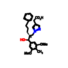 COc1cc(C(O)[C@H](CCCc2ccccc2)Cn2cc(CC(=O)O)cn2)cc(OC)c1C